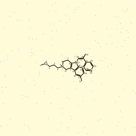 COCCCN1CCc2c(c3cc(C)ccc3n2/C=C(/C)c2ccncc2)C1